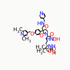 Cc1cc(COc2ccc(C3(CC(=O)NCc4ccncc4)CCN(C(CCC[C@@H](NC(=O)O)C(C)(C)C)C(=O)NO)C3=O)cc2)cc(C)n1